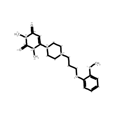 CSc1ccccc1OCCCN1CCN(c2cc(=O)n(C)c(=O)n2C)CC1